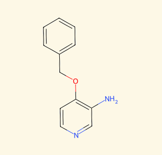 Nc1cnccc1OCc1ccccc1